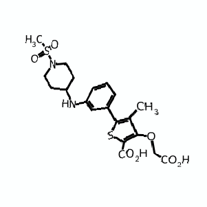 Cc1c(-c2cccc(NC3CCN(S(C)(=O)=O)CC3)c2)sc(C(=O)O)c1OCC(=O)O